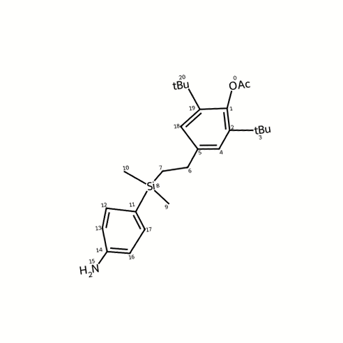 CC(=O)Oc1c(C(C)(C)C)cc(CC[Si](C)(C)c2ccc(N)cc2)cc1C(C)(C)C